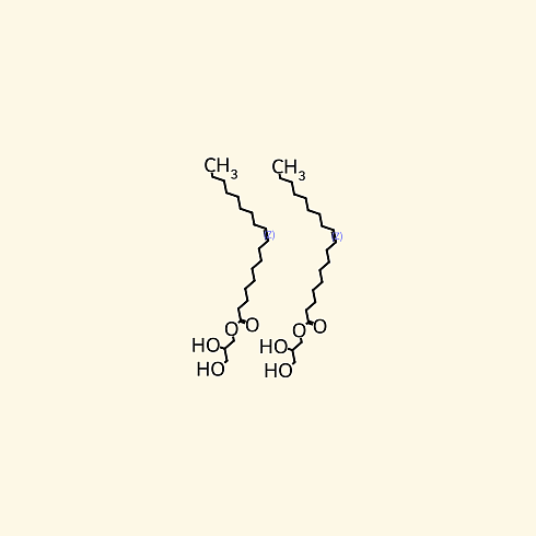 CCCCCCCC/C=C\CCCCCCCC(=O)OCC(O)CO.CCCCCCCC/C=C\CCCCCCCC(=O)OCC(O)CO